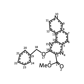 COC(=O)c1nc2ccc3cnccc3c2nc1OCc1ccccc1